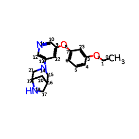 CCOc1cccc(Oc2cncc(N3CC4CNC(C4)C3)c2)c1